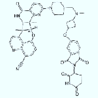 CN(CC1CCN(c2ccc3c(n2)C2(C)C(NC3=O)C3(C)c4ccnc5c(C#N)ccc(c45)O[C@@H]23)CC1)C1CC(Oc2ccc3c(c2)C(=O)N(C2CCC(=O)NC2=O)C3=O)C1